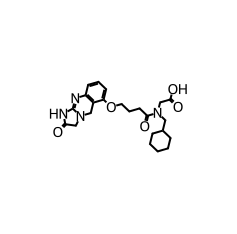 O=C(O)CN(CC1CCCCC1)C(=O)CCCOc1cccc2c1CN1CC(=O)NC1=N2